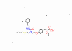 CCCCSCCN(CCOc1ccc(CC(OCC)C(=O)O)cc1)C(=O)NCCc1ccccc1